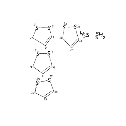 C1=CSSC1.C1=CSSC1.C1=CSSC1.C1=CSSC1.S.S